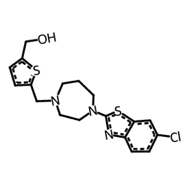 OCc1ccc(CN2CCCN(c3nc4ccc(Cl)cc4s3)CC2)s1